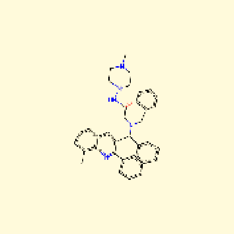 Cc1cccc2cc(C(c3ccccc3)N(CC(=O)NN3CCN(C)CC3)Cc3ccccc3)c(-c3ccccc3)nc12